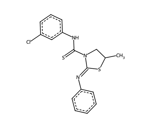 CC1CN(C(=S)Nc2cccc(Cl)c2)C(=Nc2ccccc2)S1